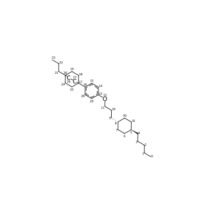 CCCCC[C@H]1CC[C@H](CCCOc2ccc(C34CCC(CCC)(CC3)CC4)cc2)CC1